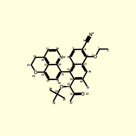 CCOc1c(C#N)ccc2c(-c3ccc4c5c(ccnc35)CCO4)c([C@H](OC(C)(C)C)C(C)=O)c(C)cc12